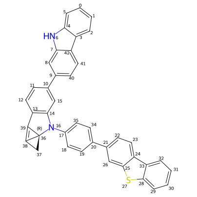 c1ccc2c(c1)[nH]c1cc(-c3ccc4c(c3)N(c3ccc(-c5ccc6c(c5)sc5ccccc56)cc3)[C@]35CC3=C45)ccc12